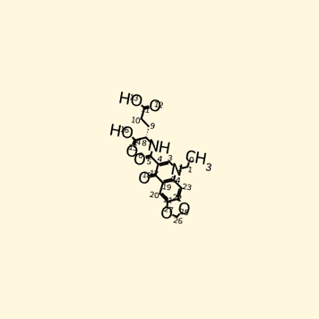 CCn1cc(C(=O)N[C@@H](CCC(=O)O)C(=O)O)c(=O)c2cc3c(cc21)OCO3